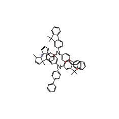 CC1C=CC(C)(c2ccc(N(c3ccc(-c4ccccc4)cc3)c3ccc4c(c3)C(C)(C)c3ccccc3-4)cc2)/C1=C1/C=CC=C1c1ccc(N(c2ccc(-c3ccccc3)cc2)c2ccc3c(c2)C(C)(C)c2ccccc2-3)cc1